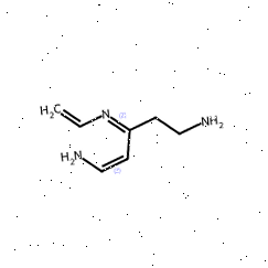 C=C/N=C(\C=C/N)CCN